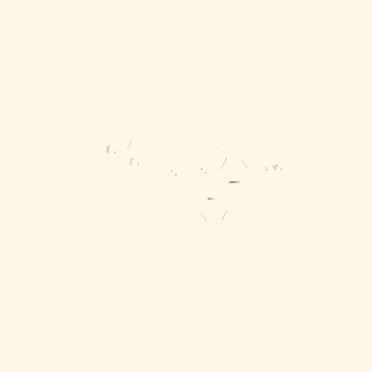 CCNC(=O)NCCN1CCN(c2ccc(C#N)cc2Cl)[C@H](c2ccc(Cl)cc2)C1